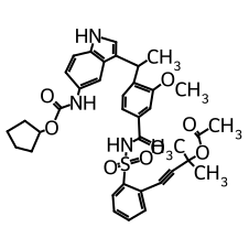 COc1cc(C(=O)NS(=O)(=O)c2ccccc2C#CC(C)(C)OC(C)=O)ccc1C(C)c1c[nH]c2ccc(NC(=O)OC3CCCC3)cc12